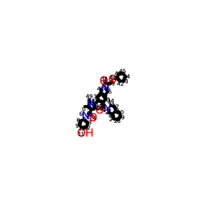 Cc1c(C(=O)N(C)c2ccc(O)cc2)cc(-c2cc3c(cc2C(=O)N2Cc4ccccc4C[C@H]2C)CN(C(=O)COc2ccccc2)C3)n1C